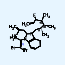 C=CC(F)[C@@H](C)[C@@H](C)[C@H](C)CN1C2=C(C=CCC2)N(/C(C)=C(/CC)C(C)C)C1CC(=C)S